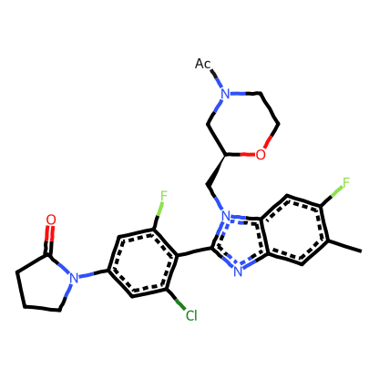 CC(=O)N1CCO[C@@H](Cn2c(-c3c(F)cc(N4CCCC4=O)cc3Cl)nc3cc(C)c(F)cc32)C1